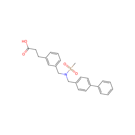 CS(=O)(=O)N(Cc1ccc(-c2ccccc2)cc1)Cc1cccc(CCC(=O)O)c1